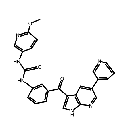 COc1ccc(NC(=O)Nc2cccc(C(=O)c3c[nH]c4ncc(-c5cccnc5)cc34)c2)cn1